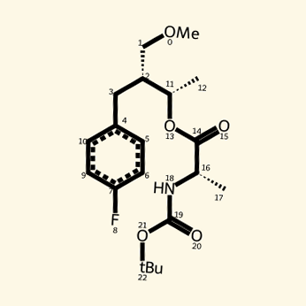 COC[C@@H](Cc1ccc(F)cc1)[C@H](C)OC(=O)[C@H](C)NC(=O)OC(C)(C)C